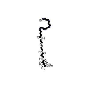 CC/C=C\C/C=C\C/C=C\C/C=C\C/C=C\CCCC(=O)NCCSSCCNC(=O)CCNC(=O)[C@H](OI)C(C)(C)COC